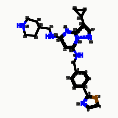 c1csc(-c2ccc(CNc3cc(NCC4CCNCC4)nc4c(C5CC5)cnn34)cc2)n1